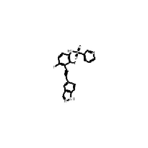 O=S(=O)(Nc1ccc(F)c(C#Cc2ccc3[nH]ncc3c2)c1F)c1cccnc1